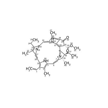 C=Cc1c(C)c2cc3nc(c4c5[nH]c(cc6nc(cc1[nH]2)C(C)=C6CC)c(C)c5C(=O)[C@@H]4C(=O)OC)[C@@H](CC)[C@@H]3C